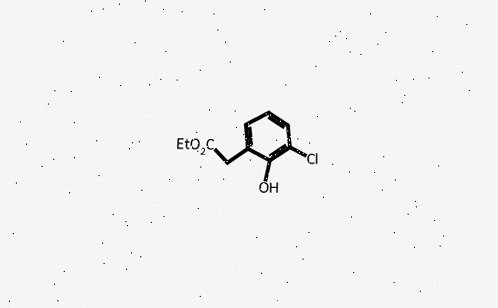 CCOC(=O)Cc1cccc(Cl)c1O